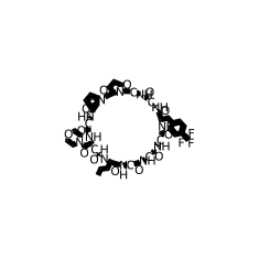 CCCC1NC(=O)CC(C(=O)N2CCOCC2)NC(=O)CNC(=O)C2(CCCC2)NC(=O)C2CCCN2C(=O)CNC(=O)CNC(=O)C(Cc2ccc(C(F)(F)F)cc2)NC(=O)CNC(=O)CNC(=O)CNC1=O